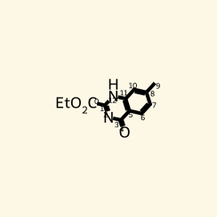 CCOC(=O)c1nc(=O)c2ccc(C)cc2[nH]1